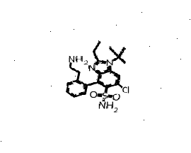 CCc1nc2c(-c3ccccc3CCN)c(S(N)(=O)=O)c(Cl)cc2n1C(C)(C)C